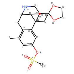 Cc1cc(OS(=O)(=O)C(F)(F)F)cc2c1CC1NCCC23CC2(CCC13)OCCO2